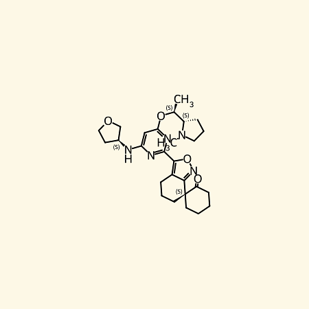 C[C@H](Oc1cc(N[C@H]2CCOC2)nc(-c2onc3c2CCC[C@@]32CCCCC2=O)n1)[C@@H]1CCCN1C